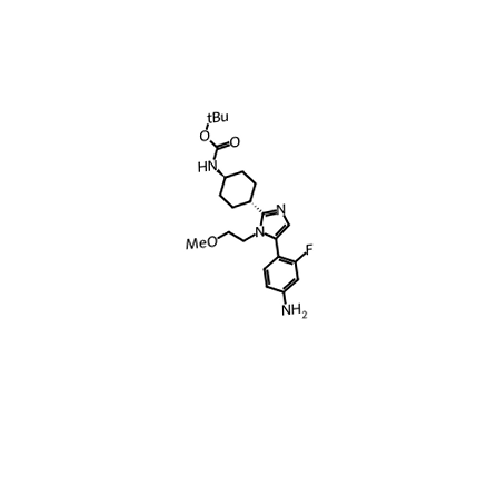 COCCn1c(-c2ccc(N)cc2F)cnc1[C@H]1CC[C@H](NC(=O)OC(C)(C)C)CC1